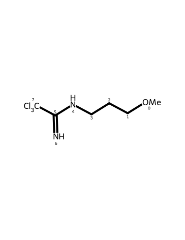 COCCCNC(=N)C(Cl)(Cl)Cl